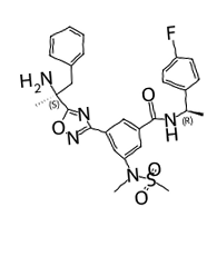 C[C@@H](NC(=O)c1cc(-c2noc([C@@](C)(N)Cc3ccccc3)n2)cc(N(C)S(C)(=O)=O)c1)c1ccc(F)cc1